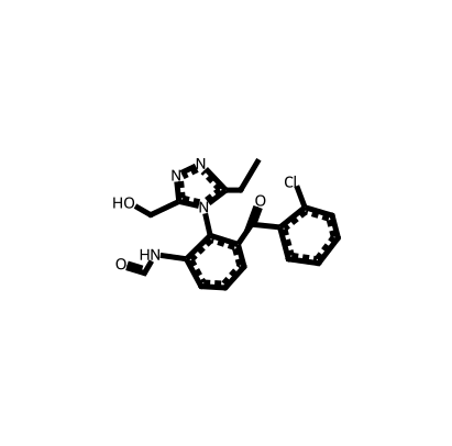 CCc1nnc(CO)n1-c1c(NC=O)cccc1C(=O)c1ccccc1Cl